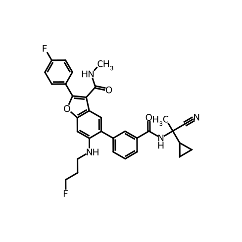 CNC(=O)c1c(-c2ccc(F)cc2)oc2cc(NCCCF)c(-c3cccc(C(=O)NC(C)(C#N)C4CC4)c3)cc12